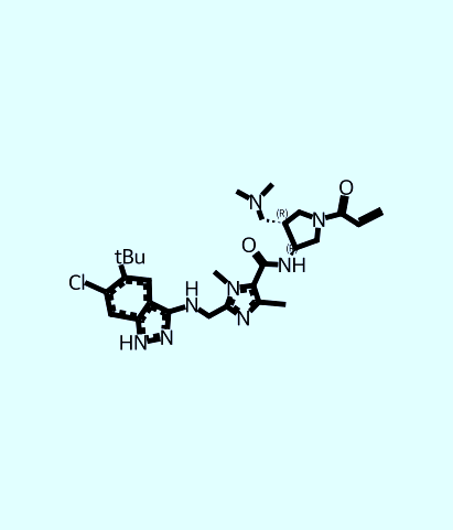 C=CC(=O)N1C[C@@H](CN(C)C)[C@@H](NC(=O)c2c(C)nc(CNc3n[nH]c4cc(Cl)c(C(C)(C)C)cc34)n2C)C1